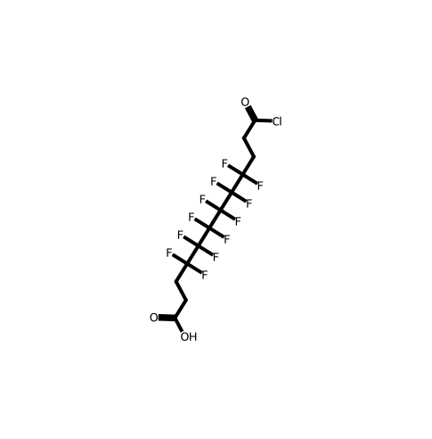 O=C(O)CCC(F)(F)C(F)(F)C(F)(F)C(F)(F)C(F)(F)C(F)(F)CCC(=O)Cl